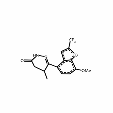 COc1ccc(C2=NNC(=O)CC2C)c2cc(C(F)(F)F)oc12